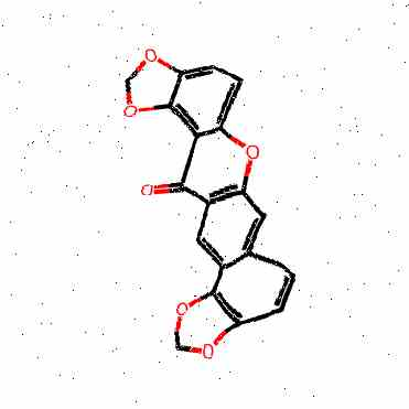 O=c1c2cc3c4c(ccc3cc2oc2ccc3c(c12)OCO3)OCO4